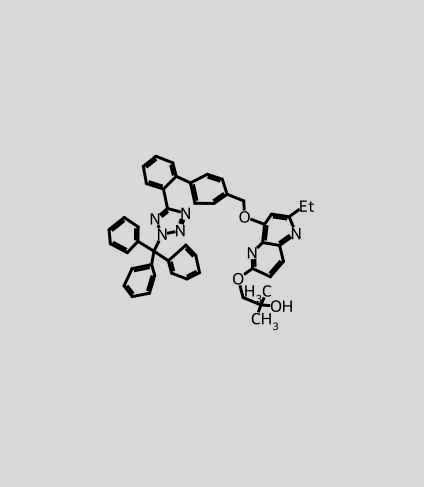 CCc1cc(OCc2ccc(-c3ccccc3-c3nnn(C(c4ccccc4)(c4ccccc4)c4ccccc4)n3)cc2)c2nc(OCC(C)(C)O)ccc2n1